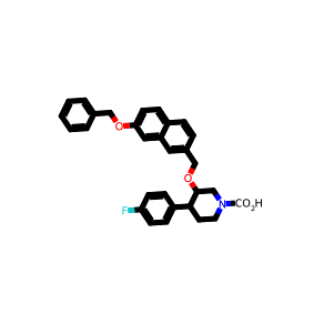 O=C(O)N1CCC(c2ccc(F)cc2)C(OCc2ccc3ccc(OCc4ccccc4)cc3c2)C1